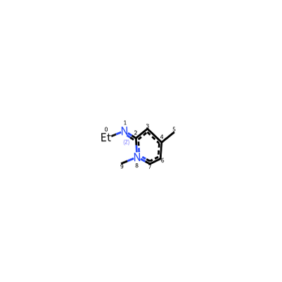 CC/N=c1/cc(C)ccn1C